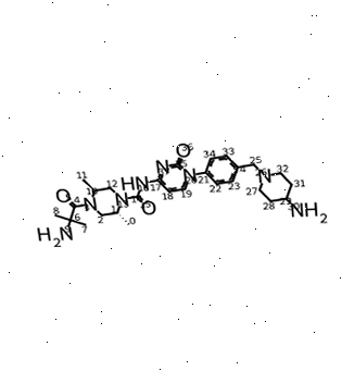 C[C@@H]1CN(C(=O)C(C)(C)N)[C@@H](C)CN1C(=O)Nc1ccn(-c2ccc(CN3CCC(N)CC3)cc2)c(=O)n1